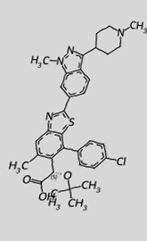 Cc1cc2nc(-c3ccc4c(C5CCN(C)CC5)nn(C)c4c3)sc2c(-c2ccc(Cl)cc2)c1[C@H](OC(C)(C)C)C(=O)O